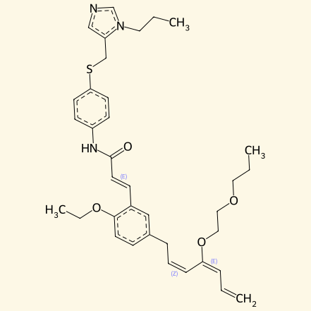 C=C/C=C(\C=C/Cc1ccc(OCC)c(/C=C/C(=O)Nc2ccc(SCc3cncn3CCC)cc2)c1)OCCOCCC